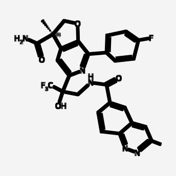 Cc1cc2cc(C(=O)NCC(O)(c3cc4c(c(-c5ccc(F)cc5)n3)OC[C@]4(C)C(N)=O)C(F)(F)F)ccc2nn1